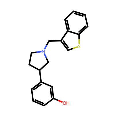 Oc1cccc(C2CCN(Cc3csc4ccccc34)C2)c1